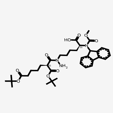 COC(=O)N(C1c2ccccc2-c2ccccc21)[C@@H](CCCCN(N)C(=O)[C@H](CCCCC(=O)OC(C)(C)C)C(=O)OC(C)(C)C)C(=O)O